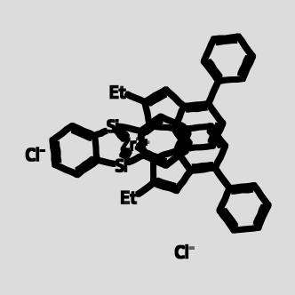 CCC1=Cc2c(-c3ccccc3)cccc2[CH]1[Zr+2]1([CH]2C(CC)=Cc3c(-c4ccccc4)cccc32)=[Si]2c3ccccc3[Si]=1c1ccccc12.[Cl-].[Cl-]